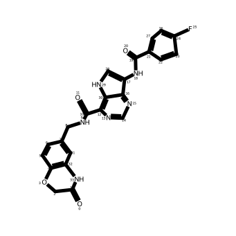 O=C1COc2ccc(CNC(=O)c3ncnc4c(NC(=O)c5ccc(F)cc5)c[nH]c34)cc2N1